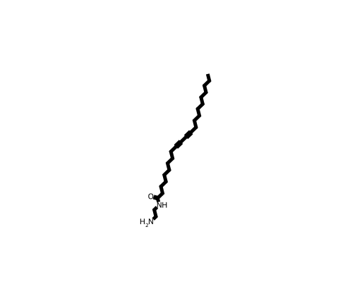 CCCCCCCCCCC#CC#CCCCCCCCCC(=O)NCCN